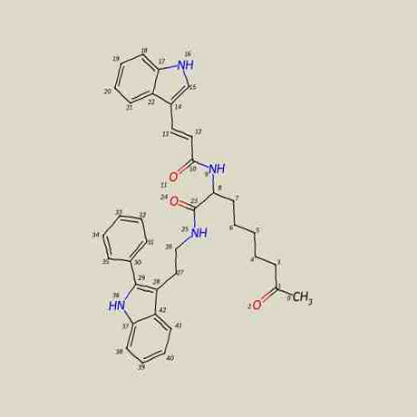 CC(=O)CCCCCC(NC(=O)/C=C/c1c[nH]c2ccccc12)C(=O)NCCc1c(-c2ccccc2)[nH]c2ccccc12